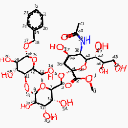 COC(=O)[C@@]1(OCC2O[C@@H](O[C@@H]3C(CO)O[C@@H](OCc4ccccc4)C(O)[C@H]3O)C(O)[C@@H](O)[C@H]2O)C[C@@H](O)[C@@H](NC(C)=O)C([C@H](O)[C@H](O)CO)O1